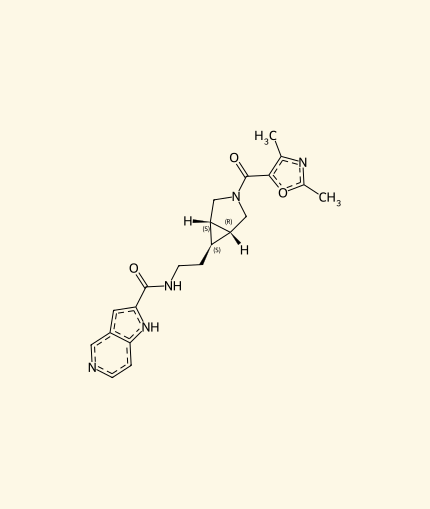 Cc1nc(C)c(C(=O)N2C[C@@H]3[C@@H](CCNC(=O)c4cc5cnccc5[nH]4)[C@@H]3C2)o1